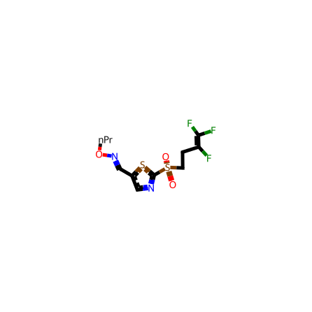 CCCON=Cc1cnc(S(=O)(=O)CCC(F)=C(F)F)s1